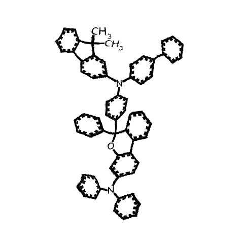 CC1(C)c2ccccc2-c2ccc(N(c3ccc(-c4ccccc4)cc3)c3ccc(C4(c5ccccc5)Oc5cc(N(c6ccccc6)c6ccccc6)ccc5-c5ccccc54)cc3)cc21